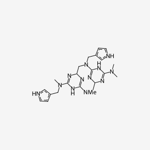 CNC1=NC(CN(Cc2cc[nH]c2)C2=NC(C)N=C(N(C)C)N2)N=C(N(C)Cc2cc[nH]c2)N1